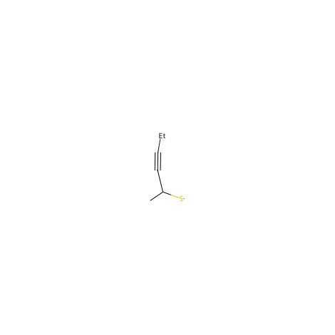 CCC#CC(C)[S]